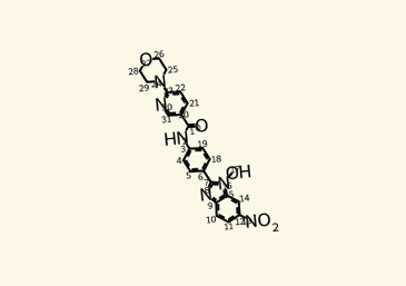 O=C(Nc1ccc(-c2nc3ccc([N+](=O)[O-])cc3n2O)cc1)c1ccc(N2CCOCC2)nc1